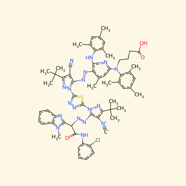 [C-]#[N+]c1c(C(C)(C)C)nn(-c2nnc(-n3nc(C(C)(C)C)c(C#N)c3N=Nc3c(C)cc(N(CCCC(=O)O)c4c(C)cc(C)cc4C)nc3Nc3c(C)cc(C)cc3C)s2)c1N=NC(C(=O)Nc1ccccc1Cl)c1nc2ccccc2n1C